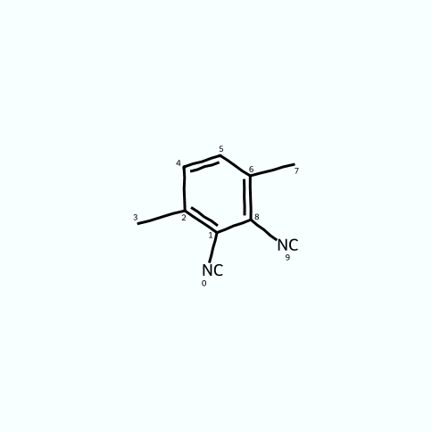 [C-]#[N+]c1c(C)ccc(C)c1[N+]#[C-]